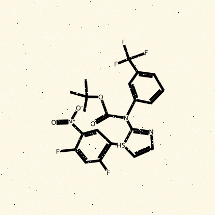 CC(C)(C)OC(=O)N(C1=NC=C[SH]1c1cc([N+](=O)[O-])c(F)cc1F)c1cccc(C(F)(F)F)c1